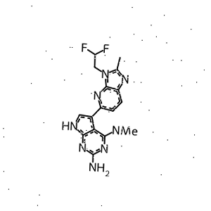 CNc1nc(N)nc2[nH]cc(-c3ccc4nc(C)n(CC(F)F)c4n3)c12